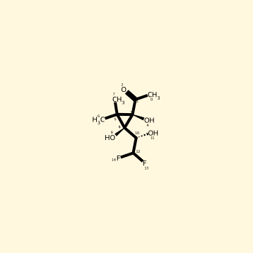 CC(=O)[C@@]1(O)C(C)(C)[C@@]1(O)[C@H](O)C(F)F